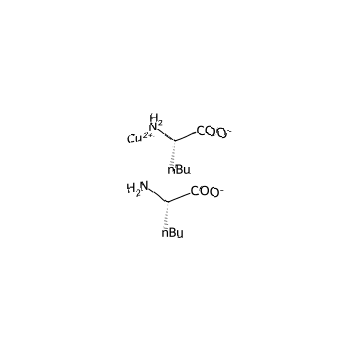 CCCC[C@H](N)C(=O)[O-].CCCC[C@H](N)C(=O)[O-].[Cu+2]